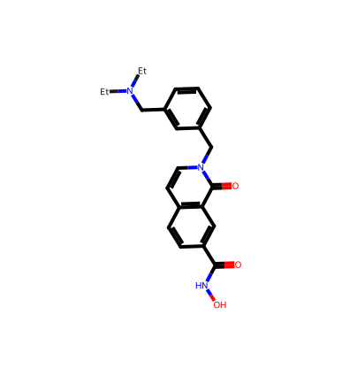 CCN(CC)Cc1cccc(Cn2ccc3ccc(C(=O)NO)cc3c2=O)c1